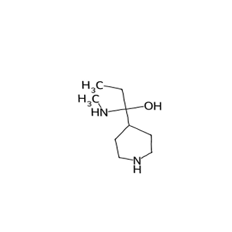 CCC(O)(NC)C1CCNCC1